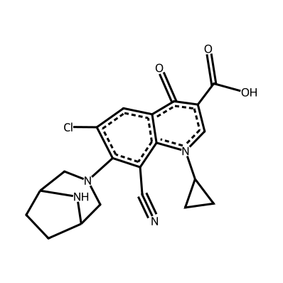 N#Cc1c(N2CC3CCC(C2)N3)c(Cl)cc2c(=O)c(C(=O)O)cn(C3CC3)c12